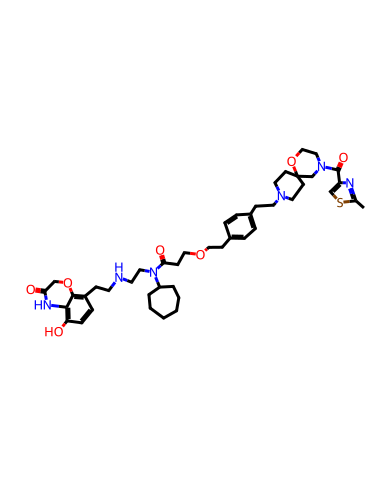 Cc1nc(C(=O)N2CCOC3(CCN(CCc4ccc(CCOCCC(=O)N(CCNCCc5ccc(O)c6c5OCC(=O)N6)C5CCCCCC5)cc4)CC3)C2)cs1